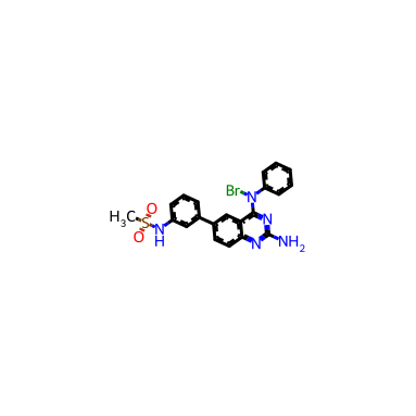 CS(=O)(=O)Nc1cccc(-c2ccc3nc(N)nc(N(Br)c4ccccc4)c3c2)c1